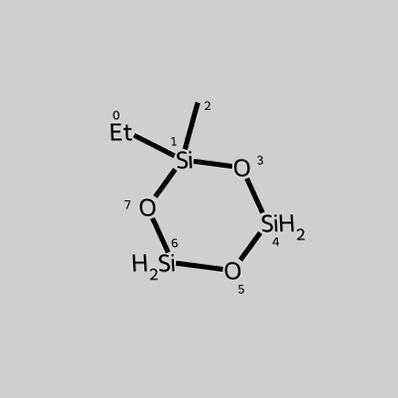 CC[Si]1(C)O[SiH2]O[SiH2]O1